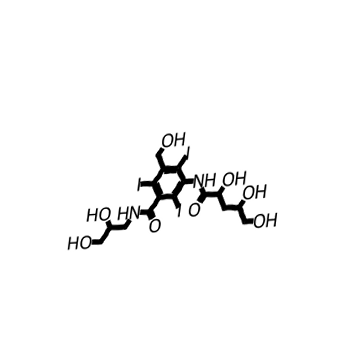 O=C(NCC(O)CO)c1c(I)c(CO)c(I)c(NC(=O)C(O)CC(O)CO)c1I